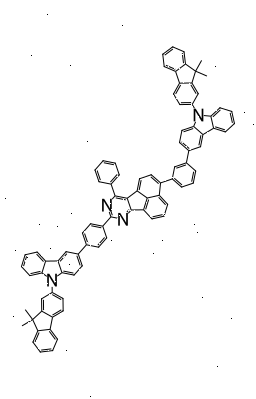 CC1(C)c2ccccc2-c2ccc(-n3c4ccccc4c4cc(-c5ccc(-c6nc(-c7ccccc7)c7c(n6)-c6cccc8c(-c9cccc(-c%10ccc%11c(c%10)c%10ccccc%10n%11-c%10ccc%11c(c%10)C(C)(C)c%10ccccc%10-%11)c9)ccc-7c68)cc5)ccc43)cc21